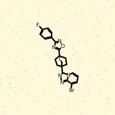 Fc1ccc(-c2noc(C34CCC(c5nnc6c(Br)cccn56)(CC3)CC4)n2)cc1